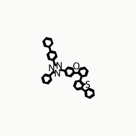 C1=CCC(c2ccc(-c3nc(-c4ccccc4)nc(-c4ccc5c(c4)oc4cccc(-c6cccc7c6sc6ccccc67)c45)n3)cc2)C=C1